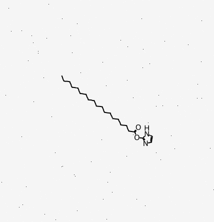 CCCCCCCCCCCCCCCCCCC(=O)Oc1ncc[nH]1